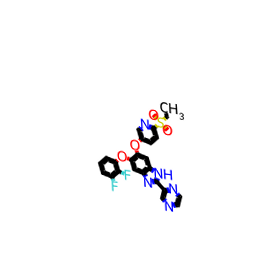 CCS(=O)(=O)c1ccc(Oc2cc3[nH]c(-c4cnccn4)nc3cc2Oc2cccc(F)c2F)cn1